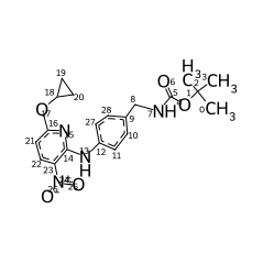 CC(C)(C)OC(=O)NCc1ccc(Nc2nc(OC3CC3)ccc2[N+](=O)[O-])cc1